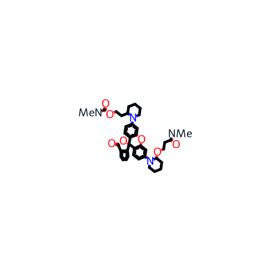 CNC(=O)CCOC1CCCCN1c1ccc2c(c1)Oc1cc(N3CCCCC3CCOC(=O)NC)ccc1C21OC(=O)c2ccccc21